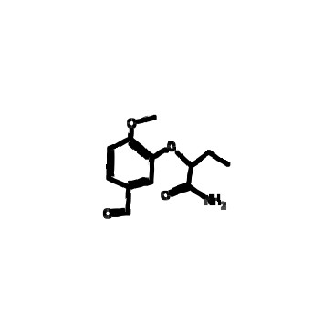 CCC(Oc1cc(C=O)ccc1OC)C(N)=O